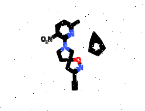 C#CC1=NOC2(CCN(c3nc(C)ccc3[N+](=O)[O-])C2)C1.c1cc2cc-2c1